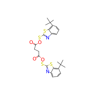 CC(C)(C)c1cccc2nc(SOC(=O)CCC(=O)OSc3nc4cccc(C(C)(C)C)c4s3)sc12